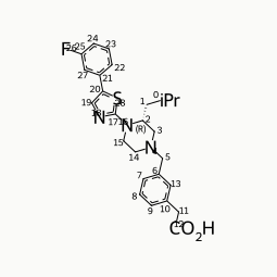 CC(C)C[C@@H]1CN(Cc2cccc(CC(=O)O)c2)CCN1c1ncc(-c2cccc(F)c2)s1